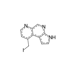 ICc1ccnc2cnc3[nH]ccc3c12